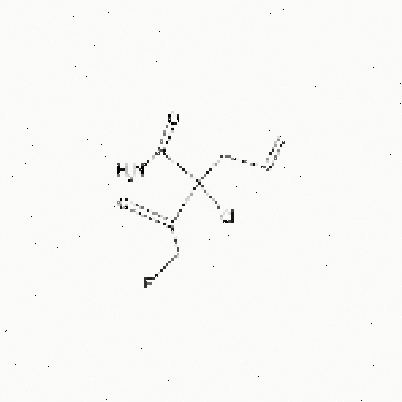 C=CCC(Cl)(C(N)=O)C(=O)CF